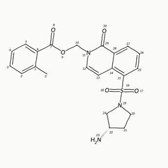 Cc1ccccc1C(=O)OCn1ccc2c(S(=O)(=O)N3CC[C@H](N)C3)cccc2c1=O